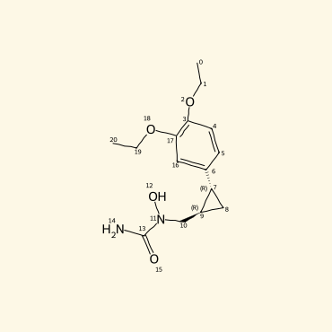 CCOc1ccc([C@@H]2C[C@H]2CN(O)C(N)=O)cc1OCC